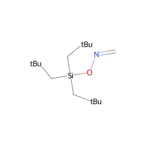 C=NO[Si](CC(C)(C)C)(CC(C)(C)C)CC(C)(C)C